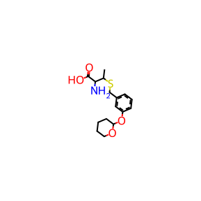 CC(SCc1cccc(OC2CCCCO2)c1)C(N)C(=O)O